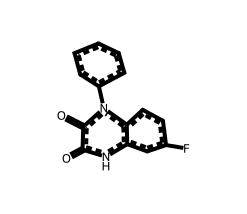 O=c1[nH]c2cc(F)ccc2n(-c2ccccc2)c1=O